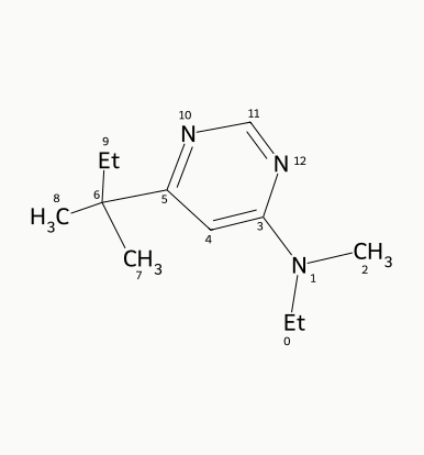 CCN(C)c1cc(C(C)(C)CC)ncn1